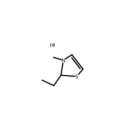 CCC1SC=CN1C.I